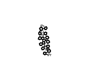 CC(C)c1ccccc1-c1cccc2c1oc1c(N(c3ccccc3)c3cc4c(c5ccccc35)-c3c(cc(N(c5ccccc5)c5cccc6c5oc5c(-c7ccccc7C(C)C)cccc56)c5ccccc35)C4(c3ccccc3)c3ccccc3)cccc12